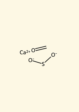 C=O.[Ca+2].[O-]S[O-]